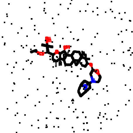 CCO[C@@H](C1C[C@@H](C)[C@H]2C(O1)[C@H](O)[C@@]1(C)C3CC[C@H]4C(C)(C)[C@@H](O[C@H]5CN(C6CC7CCC(C6)N7C)CCO5)CC[C@@]45C[C@@]35CC[C@]21C)C(C)(C)O